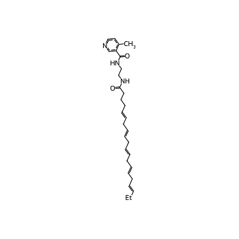 CCC=CCC=CCC=CCC=CCC=CCCCC(=O)NCCNC(=O)c1cnccc1C